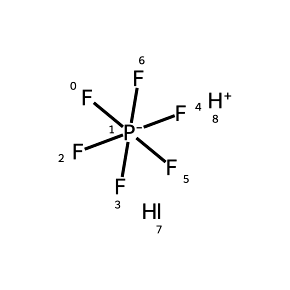 F[P-](F)(F)(F)(F)F.I.[H+]